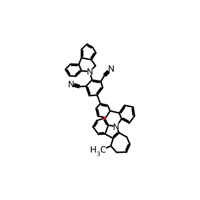 CC1CC=CCc2c1c1ccccc1n2-c1ccccc1C1C=C(c2cc(C#N)c(N3Cc4ccccc4-c4ccccc43)c(C#N)c2)C=CC1